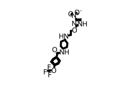 O=C(NC1CCC(NCCOc2nc([N+](=O)[O-])c[nH]2)CC1)c1ccc(OC(F)(F)F)cc1